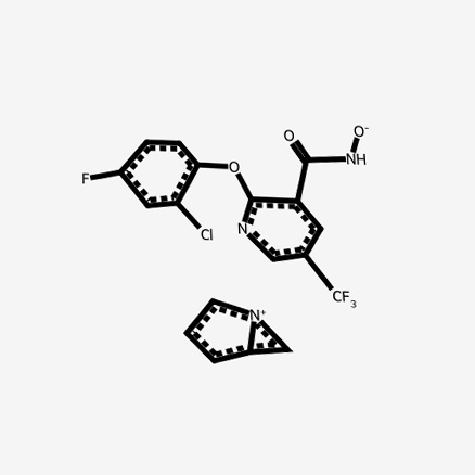 O=C(N[O-])c1cc(C(F)(F)F)cnc1Oc1ccc(F)cc1Cl.c1cc2c[n+]-2c1